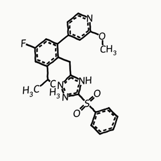 COc1cc(-c2cc(F)cc(C(C)C)c2Cc2nnc(S(=O)(=O)c3ccccc3)[nH]2)ccn1